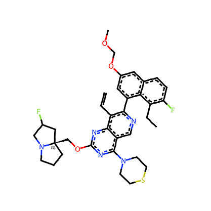 C=Cc1c(-c2cc(OCOC)cc3ccc(F)c(CC)c23)ncc2c(N3CCSCC3)nc(OC[C@@]34CCCN3CC(F)C4)nc12